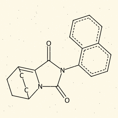 O=C1C2=C3CCC(CC3)N2C(=O)N1c1cccc2ccccc12